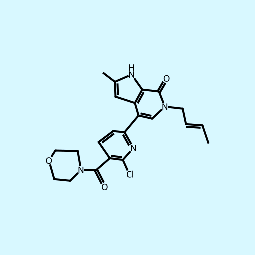 CC=CCn1cc(-c2ccc(C(=O)N3CCOCC3)c(Cl)n2)c2cc(C)[nH]c2c1=O